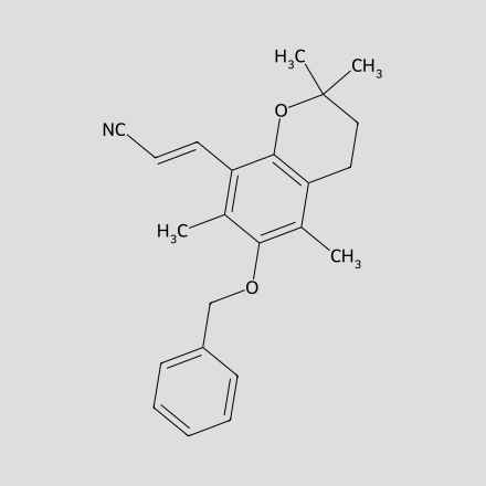 Cc1c(/C=C/C#N)c2c(c(C)c1OCc1ccccc1)CCC(C)(C)O2